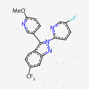 COc1ccc(-c2c3ccc(C(F)(F)F)cc3nn2-c2ccc(F)cn2)cn1